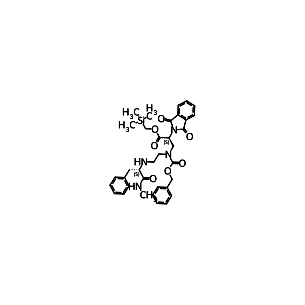 CNC(=O)[C@H](Cc1ccccc1)NCCN(C[C@@H](C(=O)OC[Si](C)(C)C)N1C(=O)c2ccccc2C1=O)C(=O)OCc1ccccc1